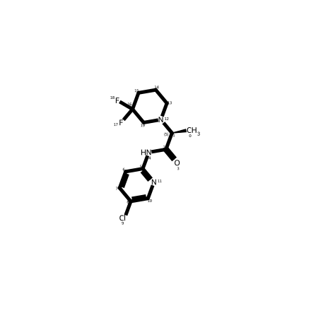 C[C@@H](C(=O)Nc1ccc(Cl)cn1)N1CCCC(F)(F)C1